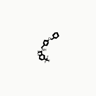 FC(F)(F)c1ccc2snc(NCc3ccc(OCc4ccccc4)cc3)c2c1